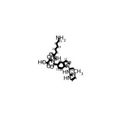 CCC(Nc1ncc[nH]1)n1ncc2cc(C(=O)N(NC(=O)CCCCCN)C(C)C(=O)O)ccc21